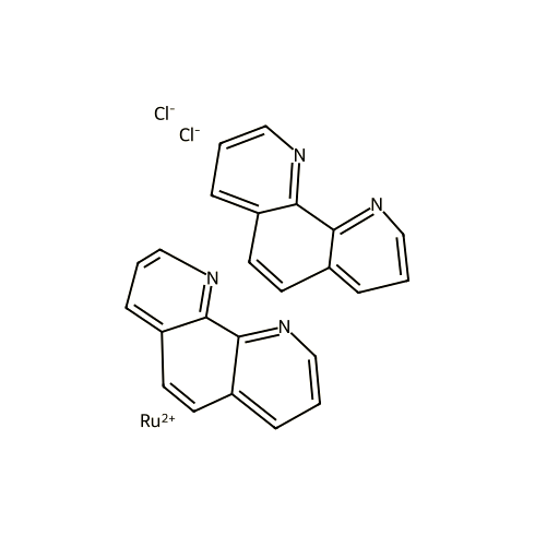 [Cl-].[Cl-].[Ru+2].c1cnc2c(c1)ccc1cccnc12.c1cnc2c(c1)ccc1cccnc12